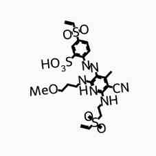 C=CS(=O)(=O)CCNc1nc(NCCCOC)c(/N=N/c2ccc(S(=O)(=O)C=C)cc2S(=O)(=O)O)c(C)c1C#N